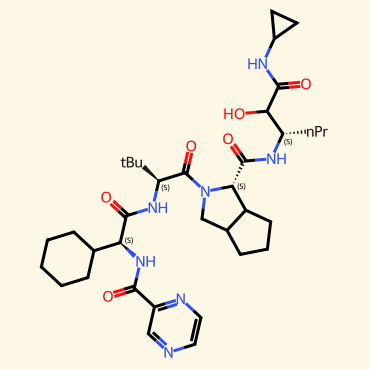 CCC[C@H](NC(=O)[C@@H]1C2CCCC2CN1C(=O)[C@@H](NC(=O)[C@@H](NC(=O)c1cnccn1)C1CCCCC1)C(C)(C)C)C(O)C(=O)NC1CC1